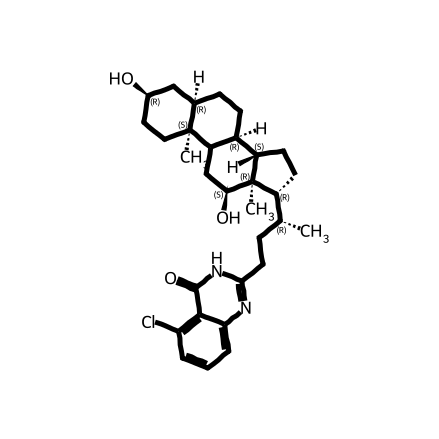 C[C@H](CCc1nc2cccc(Cl)c2c(=O)[nH]1)[C@H]1CC[C@H]2[C@@H]3CC[C@@H]4C[C@H](O)CC[C@]4(C)C3C[C@H](O)[C@]12C